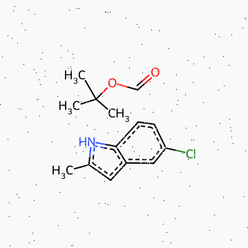 CC(C)(C)OC=O.Cc1cc2cc(Cl)ccc2[nH]1